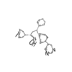 ON=C(CC(c1ccccc1)c1ccc(-c2cncnc2)cc1)c1ccncc1